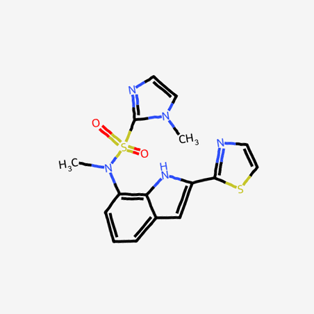 CN(c1cccc2cc(-c3nccs3)[nH]c12)S(=O)(=O)c1nccn1C